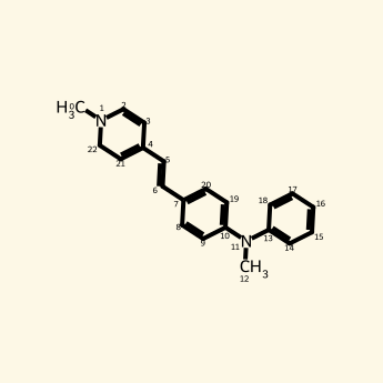 CN1C=CC(C=Cc2ccc(N(C)c3ccccc3)cc2)=CC1